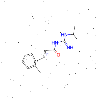 Cc1ccccc1/C=C/C(=O)NC(=N)NC(C)C